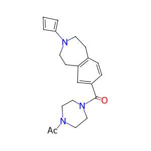 CC(=O)N1CCN(C(=O)c2ccc3c(c2)CCN(C2=CC=C2)CC3)CC1